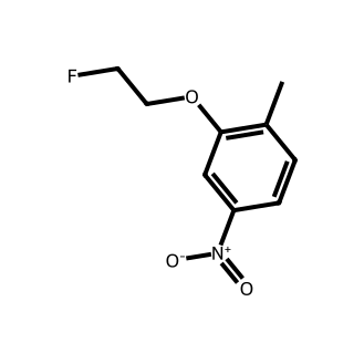 Cc1ccc([N+](=O)[O-])cc1OCCF